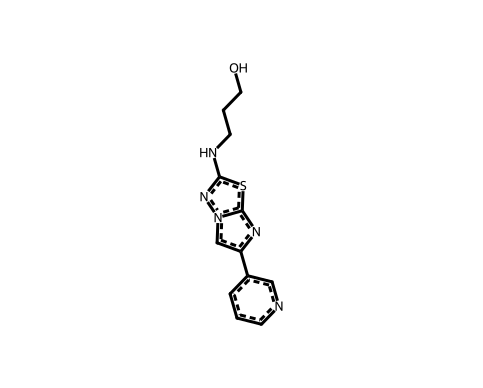 OCCCNc1nn2cc(-c3cccnc3)nc2s1